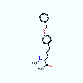 CNC(=O)C(CC=Cc1ccc(OCc2ccccc2)cc1)NC(=O)O